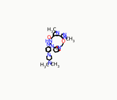 Cc1cc2cc(n1)-c1cnn(C)c1OCCN1CC3CCC(CC3)(C1)n1c(nc3ccc(N4CCC(N(C)C)CC4)cc31)NC2=O